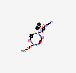 COCCOCCOCCN1CCNC(=O)c2ccc(c(C)c2C)C(=O)NCCN(CCNC(=O)c2ccc(C(=O)NCCCCCN)c(OCc3ccccc3)c2OCc2ccccc2)CCNC(=O)c2ccc(c(C)c2C)C(=O)NCC1